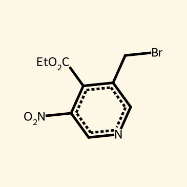 CCOC(=O)c1c(CBr)cncc1[N+](=O)[O-]